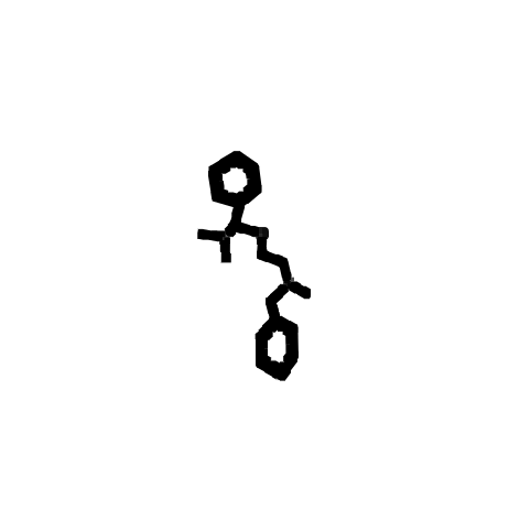 CN(CCOC(c1ccccc1)N(C)C)Cc1ccccc1